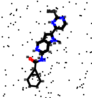 COc1nccc(-c2cc3cnc(NC(=O)C4C5CCCCC54)cc3n2C)n1